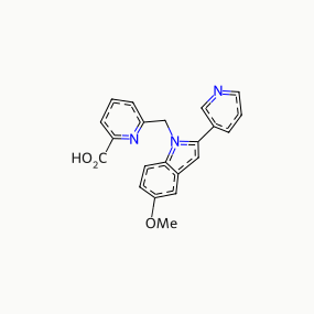 COc1ccc2c(c1)cc(-c1cccnc1)n2Cc1cccc(C(=O)O)n1